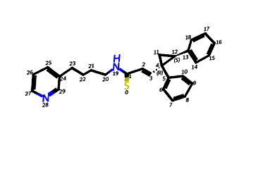 S=C(C=C[C@]1(c2ccccc2)C[C@H]1c1ccccc1)NCCCCc1cccnc1